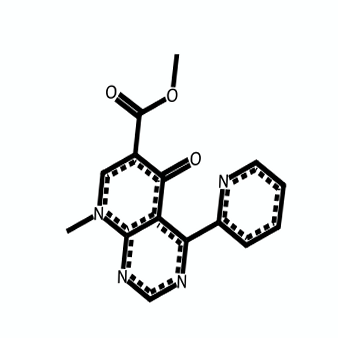 COC(=O)c1cn(C)c2ncnc(-c3ccccn3)c2c1=O